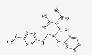 COc1ccc(NCN(Cc2ccccc2)C(=O)C(C(=O)O)C(=O)O)cc1